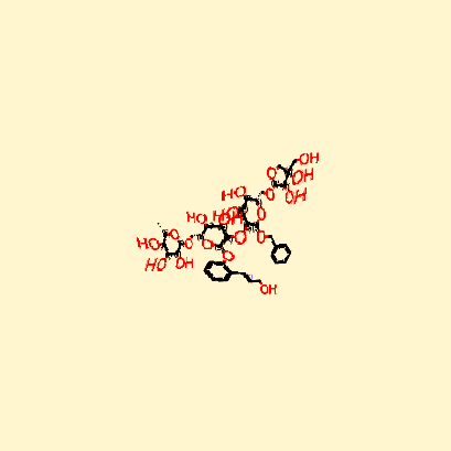 C[C@@H]1O[C@@H](OC[C@H]2O[C@@H](Oc3ccccc3/C=C/CO)[C@H](O[C@@H]3[C@@H](OCc4ccccc4)O[C@@H](CO[C@@H]4OC[C@](O)(CO)[C@H]4O)[C@H](O)[C@H]3O)[C@@H](O)[C@@H]2O)[C@H](O)[C@H](O)[C@H]1O